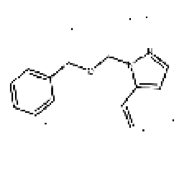 C=Cc1ccnn1COCc1ccccc1